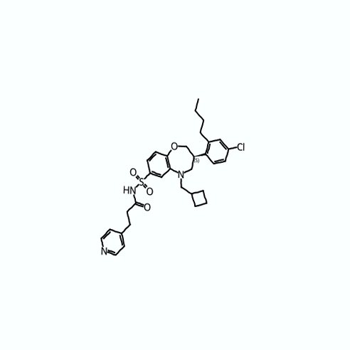 CCCCc1cc(Cl)ccc1[C@@H]1COc2ccc(S(=O)(=O)NC(=O)CCc3ccncc3)cc2N(CC2CCC2)C1